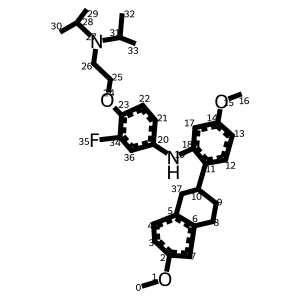 COc1ccc2c(c1)CCC(c1ccc(OC)cc1Nc1ccc(OCCN(C(C)C)C(C)C)c(F)c1)C2